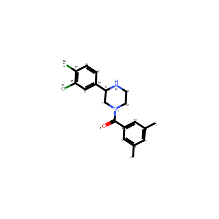 Cc1cc(C)cc(C(=O)N2CCNC(c3ccc(Cl)c(Cl)c3)C2)c1